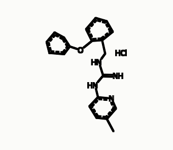 Cc1ccc(NC(=N)NCc2ccccc2Oc2ccccc2)nc1.Cl